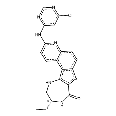 CC[C@@H]1CNc2c(sc3ccc4nc(Nc5cc(Cl)ncn5)ccc4c23)C(=O)N1